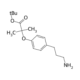 CC(C)(C)OC(=O)C(C)(C)Oc1ccc(CCCN)cc1